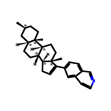 C[C@H]1CC[C@@]2(C)[C@@H](CC[C@@H]3[C@@H]2CC[C@]2(C)C(c4ccc5cnccc5c4)=CC[C@@H]32)C1